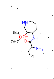 CC(C)(C)OC=O.CC(C)CC(N)C(=O)NC1CCCNCC1O